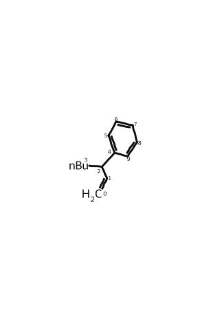 C=CC(CCCC)c1ccccc1